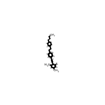 CCCCc1ccc(CCc2ccc(C#Cc3c(C)cc(C)cc3F)cc2)cc1